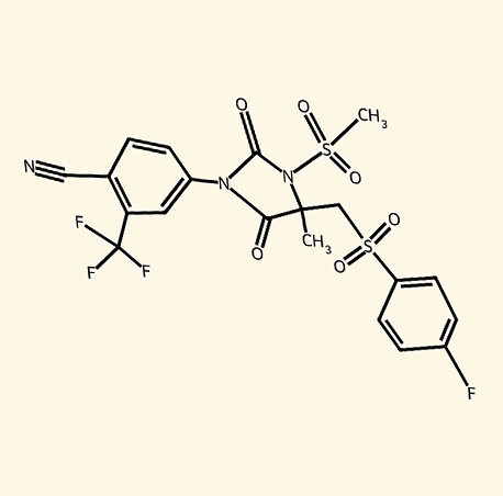 CC1(CS(=O)(=O)c2ccc(F)cc2)C(=O)N(c2ccc(C#N)c(C(F)(F)F)c2)C(=O)N1S(C)(=O)=O